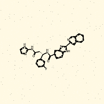 O=C(C[C@H](NC(=O)c1ccc2[nH]c(-c3cc4ccccc4cn3)nc2c1)c1cccc(F)c1)Nc1ncc[nH]1